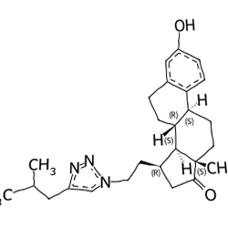 CC(C)Cc1cn(CC[C@@H]2CC(=O)[C@@]3(C)CC[C@@H]4c5ccc(O)cc5CC[C@H]4[C@H]23)nn1